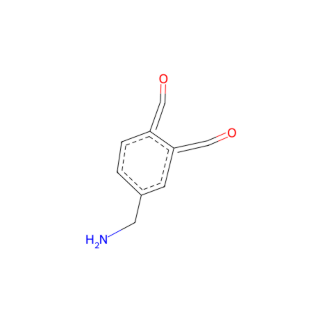 NCc1ccc(=C=O)c(=C=O)c1